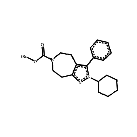 CC(C)(C)OC(=O)N1CCc2nn(C3CCCCC3)c(-c3ccccc3)c2CC1